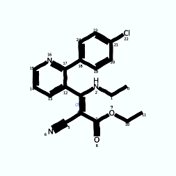 CCN/C(=C(/C#N)C(=O)OCC)c1cccnc1-c1ccc(Cl)cc1